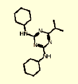 CC(C)c1nc(NC2CCCCC2)nc(NC2CCCCC2)n1